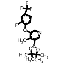 Cc1c(Oc2ccc(C(F)(F)F)cc2F)cncc1B1OC(C)(C)C(C)(C)O1